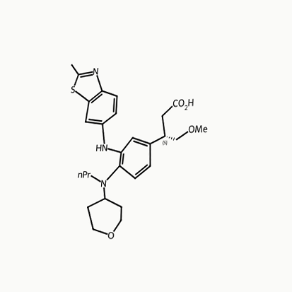 CCCN(c1ccc([C@@H](COC)CC(=O)O)cc1Nc1ccc2nc(C)sc2c1)C1CCOCC1